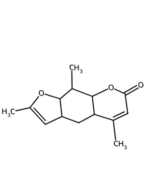 CC1=CC2CC3C(C)=CC(=O)OC3C(C)C2O1